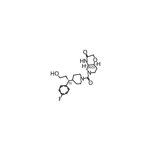 O=C1CO[C@H]2CCN(C(=O)N3CCC([C@H](CCO)c4ccc(F)cc4)CC3)C[C@H]2N1